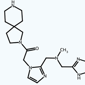 CN(Cc1ncc[nH]1)Cc1nccn1CC(=O)N1CCC2(CCNCC2)C1